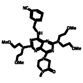 COCCN(CCOC)c1nc(N2CCN(C)C(=O)C2)c2nc(N(CCOC)CCOC)nc(NCc3cccc(C#N)c3)c2n1